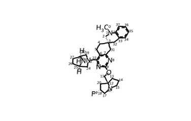 CN1C[C@]2(CCc3c(nc(OC[C@@]45CCCN4C[C@H](F)C5)nc3N3C[C@H]4CC[C@@H](C3)N4)C2)Cc2ccccc21